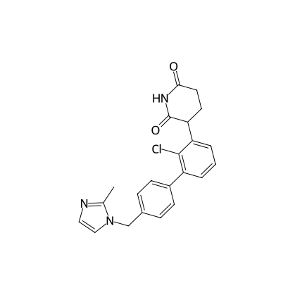 Cc1nccn1Cc1ccc(-c2cccc(C3CCC(=O)NC3=O)c2Cl)cc1